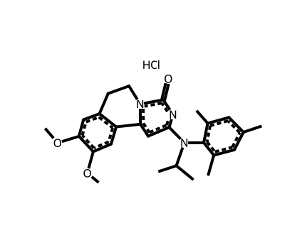 COc1cc2c(cc1OC)-c1cc(N(c3c(C)cc(C)cc3C)C(C)C)nc(=O)n1CC2.Cl